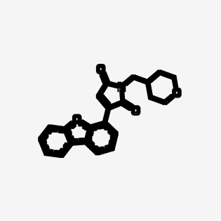 O=C1C=C(c2cccc3c2oc2ccccc23)C(=O)N1CC1CCOCC1